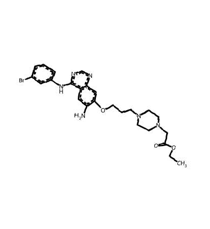 CCOC(=O)CN1CCN(CCCOc2cc3ncnc(Nc4cccc(Br)c4)c3cc2N)CC1